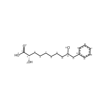 O=C(O)[C@@H](O)CCCCCCN(Cl)Cc1ccccc1